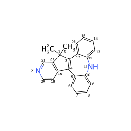 CC1(C)C2=C(c3ccccc3Nc3ccccc32)c2ccncc21